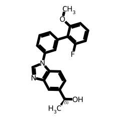 COc1cccc(F)c1-c1cccc(-n2cnc3cc([C@H](C)O)ccc32)c1